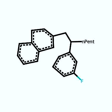 CCCCCC(Cc1ccc2ccccc2c1)c1cccc(F)c1